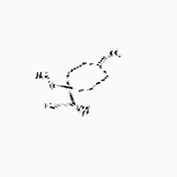 C=C1CCC(OC)(C(=O)O)CC1